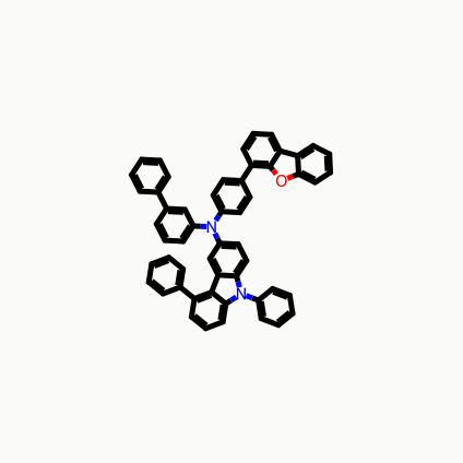 c1ccc(-c2cccc(N(c3ccc(-c4cccc5c4oc4ccccc45)cc3)c3ccc4c(c3)c3c(-c5ccccc5)cccc3n4-c3ccccc3)c2)cc1